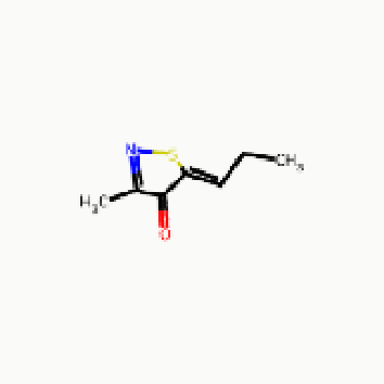 CCC=C1SN=C(C)C1=O